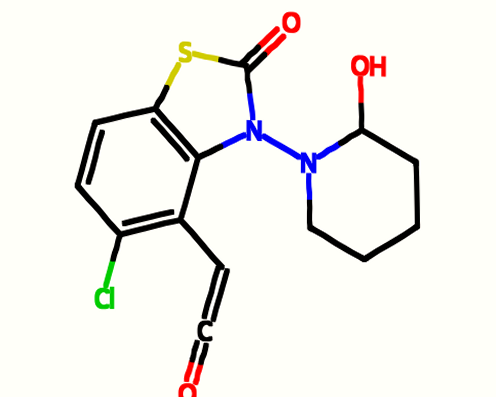 O=C=Cc1c(Cl)ccc2sc(=O)n(N3CCCCC3O)c12